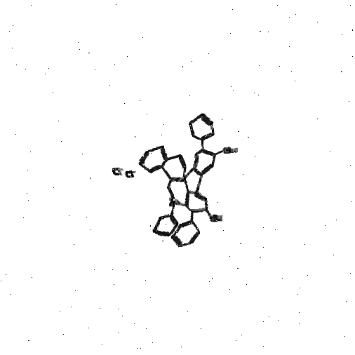 CC(C)(C)c1cc2c(cc1-c1ccccc1)Cc1c-2cc(C(C)(C)C)c(-c2ccccc2)[c]1/[Zr+2](=[CH]\c1cccc2ccccc12)[C]1=CC=CC1.[Cl-].[Cl-]